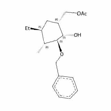 CC[C@H]1C[C@H](COC(C)=O)[C@H](O)[C@@H](OCc2ccccc2)[C@@H]1C